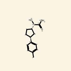 Cc1ccc([C@H]2CC[C@H](N(O)C(N)=O)C2)cc1